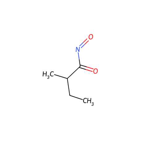 CCC(C)C(=O)N=O